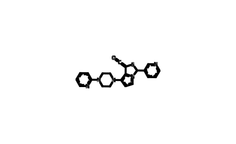 O=C=C1SC(c2cccnc2)n2ccc(N3CCN(c4ccccn4)CC3)c21